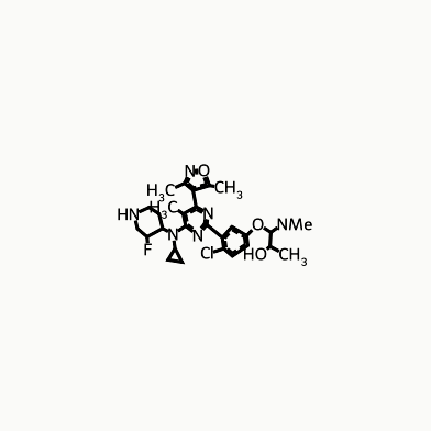 CNC(Oc1ccc(Cl)c(-c2nc(-c3c(C)noc3C)c(C)c(N(C3CC3)C3CCNCC3F)n2)c1)C(C)O